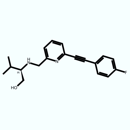 CC(C)[C@H](CO)NCc1cccc(C#Cc2ccc(F)cc2)n1